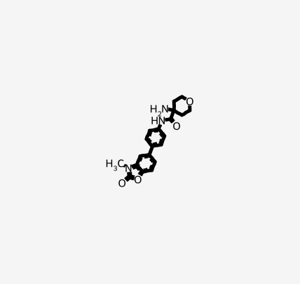 Cn1c(=O)oc2ccc(-c3ccc(NC(=O)C4(N)CCOCC4)cc3)cc21